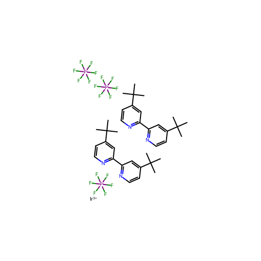 CC(C)(C)c1ccnc(-c2cc(C(C)(C)C)ccn2)c1.CC(C)(C)c1ccnc(-c2cc(C(C)(C)C)ccn2)c1.F[P-](F)(F)(F)(F)F.F[P-](F)(F)(F)(F)F.F[P-](F)(F)(F)(F)F.[Ir+3]